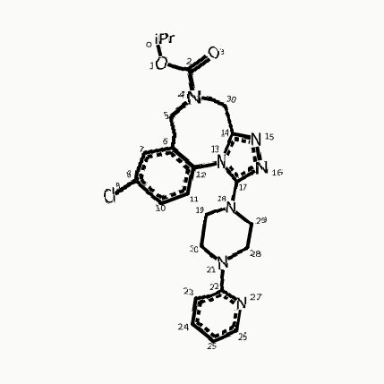 CC(C)OC(=O)N1Cc2cc(Cl)ccc2-n2c(nnc2N2CCN(c3ccccn3)CC2)C1